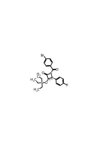 CC[Si](CC)(CC)O[C@H]1C(=O)N(C(=O)c2ccc(Br)cc2)[C@H]1c1ccc(F)cc1